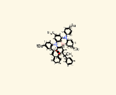 Cc1cc2c3c(c1)N(c1ccc(C(C)(C)C)cc1-c1ccc4ccccc4c1)c1ccc(C(C)(C)c4ccccc4)cc1B3c1cc(C(C)(C)C)ccc1N2c1ccc(C(C)(C)C)cc1